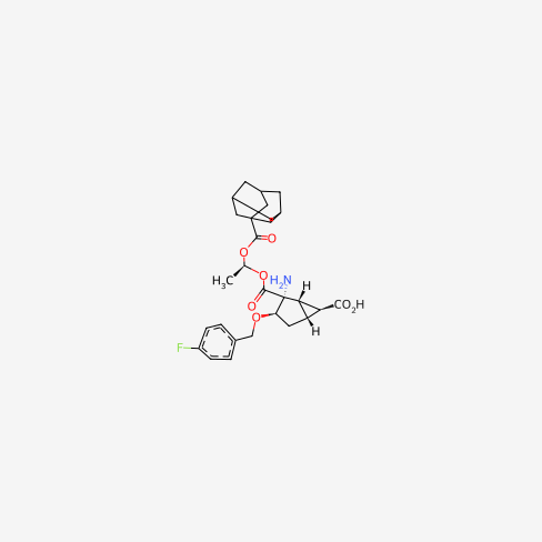 C[C@@H](OC(=O)C12CC3CC(CC(C3)C1)C2)OC(=O)[C@@]1(N)[C@H]2[C@@H](C[C@H]1OCc1ccc(F)cc1)[C@@H]2C(=O)O